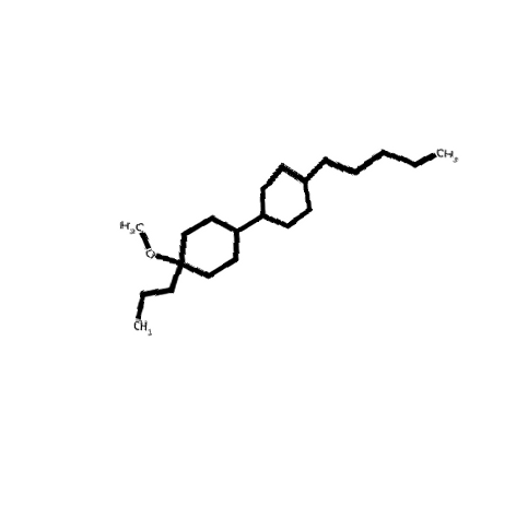 CCCCCC1CCC(C2CCC(CCC)(OC)CC2)CC1